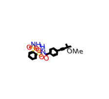 COC(C)(C)C#Cc1ccc(C(=O)NS(=O)(=O)c2ccccc2S(N)(=O)=O)cc1